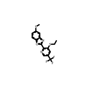 CCSc1cc(C(F)(F)F)cnc1-c1nc2cc(SC)ccc2o1